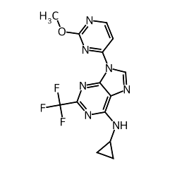 COc1nccc(-n2cnc3c(NC4CC4)nc(C(F)(F)F)nc32)n1